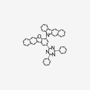 c1ccc(-c2nc(-c3ccccc3)nc(-c3cc(-n4c5ccccc5c5cc6ccccc6cc54)c4oc5cc6ccccc6cc5c4c3)n2)cc1